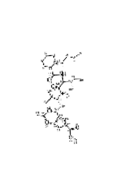 CCCCN1CCCC[C@@H]1C(=O)N[C@H](C(=O)N(C)[C@H](C[C@@H](OC(C)=O)c1nc(C(=O)OC)cs1)C(C)C)[C@@H](C)CC